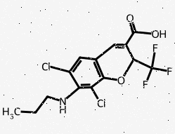 CCCNc1c(Cl)cc2c(c1Cl)OC(C(F)(F)F)C(C(=O)O)=C2